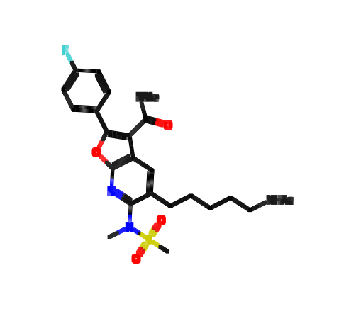 CNC(=O)c1c(-c2ccc(F)cc2)oc2nc(N(C)S(C)(=O)=O)c(CCCCCNC(C)=O)cc12